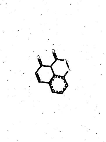 O=C1C=Cc2cccc3c2C1C(=O)[N]S3